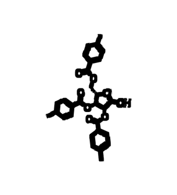 Cc1ccc(C(=O)OC[C@@H]2OC(O)[C@@H](OC(=O)c3ccc(C)cc3)[C@H]2OC(=O)c2ccc(C)cc2)cc1